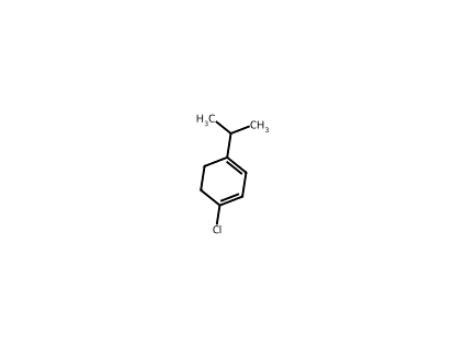 CC(C)C1=CC=C(Cl)CC1